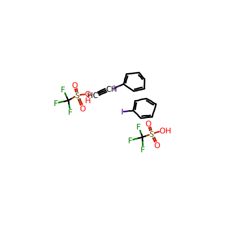 C#C.Ic1ccccc1.Ic1ccccc1.O=S(=O)(O)C(F)(F)F.O=S(=O)(O)C(F)(F)F